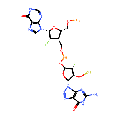 Nc1nc2c(nnn2[C@@H]2OC(OPOC[C@H]3[C@H](F)[C@H](n4cnc5c(=O)[nH]cnc54)O[C@@H]3COP)[C@H](F)[C@H]2OS)c(=O)[nH]1